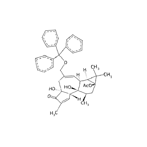 CC(=O)O[C@@]12C[C@@H](C)[C@@]3(O)[C@@H](C=C(COC(c4ccccc4)(c4ccccc4)c4ccccc4)C[C@]4(O)C(=O)C(C)=C[C@@H]34)[C@H]1C2(C)C